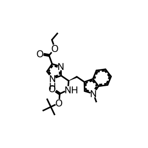 CCOC(=O)c1c[nH]c([C@@H](Cc2cn(C)c3ccccc23)NC(=O)OC(C)(C)C)n1